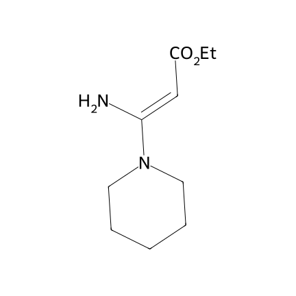 CCOC(=O)C=C(N)N1CCCCC1